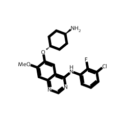 COc1cc2ncnc(Nc3cccc(Cl)c3F)c2cc1O[C@H]1CC[C@H](N)CC1